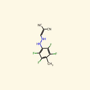 Cc1c(F)c(F)c(NNC=C(C#N)C#N)c(F)c1F